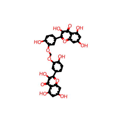 O=c1c(O)c(-c2ccc(O)c(OCOc3cc(-c4oc5cc(O)cc(O)c5c(=O)c4O)ccc3O)c2)oc2cc(O)cc(O)c12